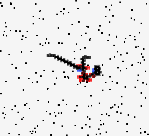 CCCCCCCCCCCCCCCCCCCCCCCCCCN[C@@H](CO[C@H]1O[C@H](COC(=O)Nc2cccc3ccccc23)[C@H](O)[C@H](O)[C@H]1O)[C@H](O)[C@H](O)CCCCCCCCCCCCCC